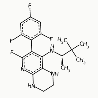 C[C@@H](Nc1c2c(nc(F)c1-c1c(F)cc(F)cc1F)NCCN2)C(C)(C)C